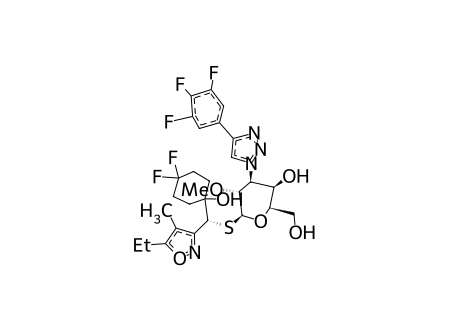 CCc1onc([C@@H](S[C@@H]2O[C@H](CO)[C@H](O)[C@H](n3cc(-c4cc(F)c(F)c(F)c4)nn3)[C@H]2OC)C2(O)CCC(F)(F)CC2)c1C